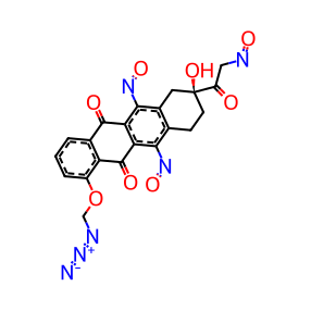 [N-]=[N+]=NCOc1cccc2c1C(=O)c1c(N=O)c3c(c(N=O)c1C2=O)C[C@](O)(C(=O)CN=O)CC3